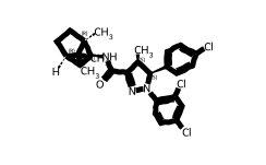 C[C@@H]1C(C(=O)N[C@H]2C[C@H]3CC[C@]2(C)C3(C)C)=NN(c2ccc(Cl)cc2Cl)[C@@H]1c1ccc(Cl)cc1